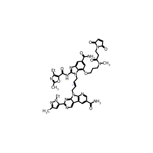 CCc1nc(C)oc1C(=O)Nc1nc2cc(C(N)=O)cc(OCCCN(C)C(=O)CCN3C(=O)C=CC3=O)c2n1C/C=C/Cn1c2ncc(C(N)=O)cc2c2cnc(-c3cc(C)nn3CC)nc21